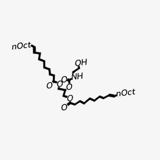 CCCCCCCCC=CCCCCCCCC(=O)OCC(COC(=O)CCCCCCCC=CCCCCCCCC)OC(=O)NCCO